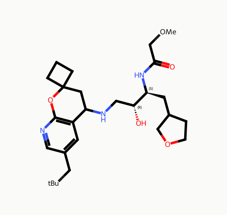 COCC(=O)N[C@@H](CC1CCOC1)[C@H](O)CNC1CC2(CCC2)Oc2ncc(CC(C)(C)C)cc21